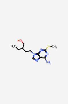 CCC(CO)CCn1cnc2c(N)nc(SC)nc21